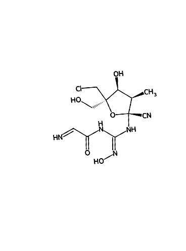 C[C@@H]1[C@H](O)[C@](CO)(CCl)O[C@@]1(C#N)N/C(=N/O)NC(=O)C=N